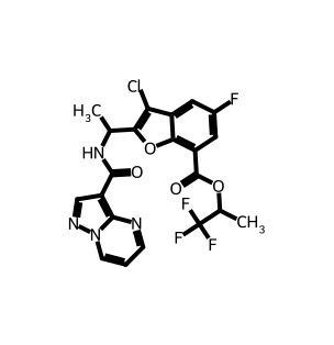 CC(NC(=O)c1cnn2cccnc12)c1oc2c(C(=O)OC(C)C(F)(F)F)cc(F)cc2c1Cl